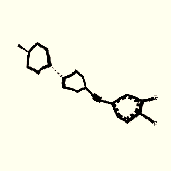 C[C@H]1CC[C@H](C2CCC(C#Cc3ccc(F)c(F)c3)CC2)CC1